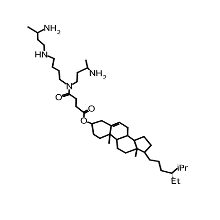 CC[C@H](CCCC1CCC2C3CC=C4CC(OC(=O)CCC(=O)N(CCCCNCCC(C)N)CCC(C)N)CCC4(C)C3CCC12C)C(C)C